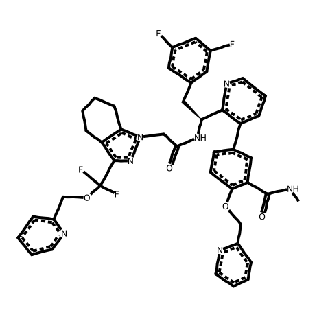 CNC(=O)c1cc(-c2cccnc2[C@H](Cc2cc(F)cc(F)c2)NC(=O)Cn2nc(C(F)(F)OCc3ccccn3)c3c2CCCC3)ccc1OCc1ccccn1